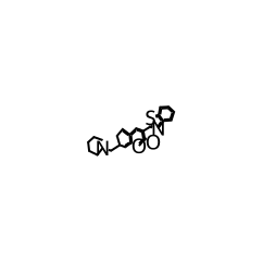 O=c1oc2c(cc1-c1nc3ccccc3s1)=CCC(CN1CCCCC1)C=2